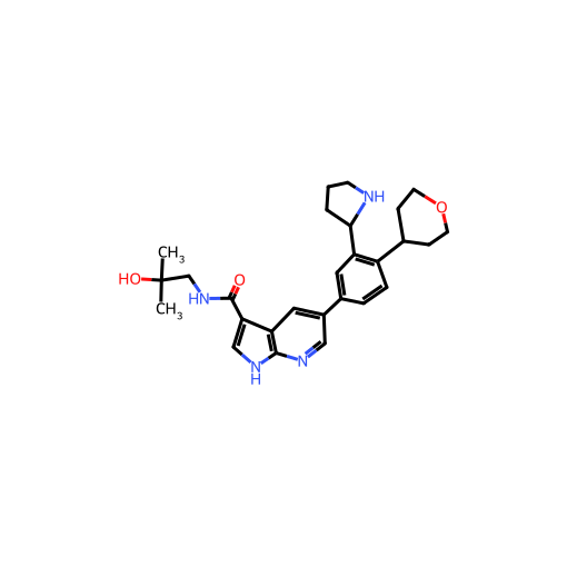 CC(C)(O)CNC(=O)c1c[nH]c2ncc(-c3ccc(C4CCOCC4)c(C4CCCN4)c3)cc12